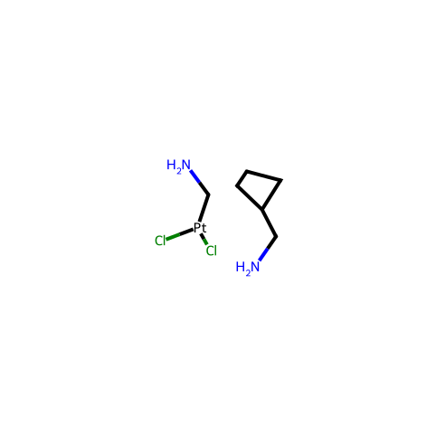 NCC1CCC1.N[CH2][Pt]([Cl])[Cl]